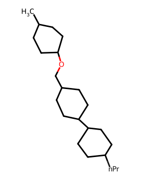 CCCC1CCC(C2CCC(COC3CCC(C)CC3)CC2)CC1